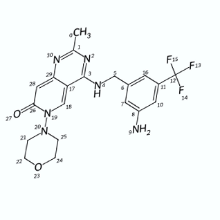 Cc1nc(NCc2cc(N)cc(C(F)(F)F)c2)c2cn(N3CCOCC3)c(=O)cc2n1